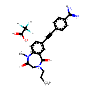 CC(C)N1C(=O)CN(CCC(=O)O)C(=O)c2cc(C#Cc3ccc(C(=N)N)cc3)ccc21.O=C(O)C(F)(F)F